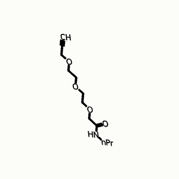 C#CCOCCOCCOCC(=O)NCCC